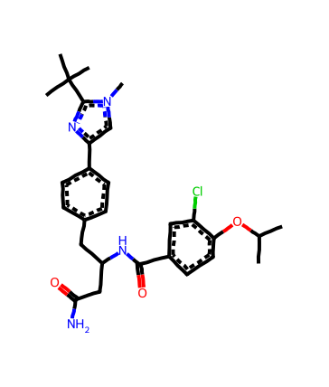 CC(C)Oc1ccc(C(=O)NC(CC(N)=O)Cc2ccc(-c3cn(C)c(C(C)(C)C)n3)cc2)cc1Cl